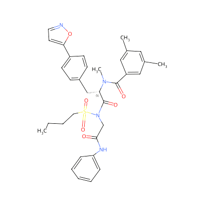 CCCCS(=O)(=O)N(CC(=O)Nc1ccccc1)C(=O)[C@H](Cc1ccc(-c2ccno2)cc1)N(C)C(=O)c1cc(C)cc(C)c1